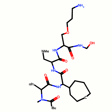 CCCC(C(=O)NC(C(=O)NC(CNC)C(=O)NC(COCCCN)C(=O)NCO)C1CCCCCC1)N(C)C(=O)C(C)CC